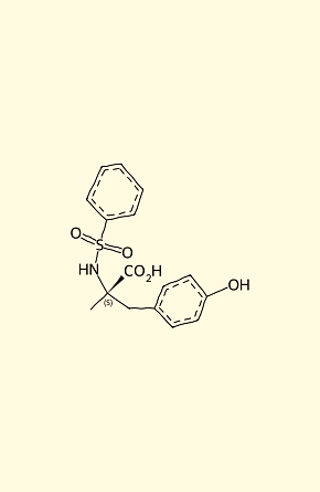 C[C@@](Cc1ccc(O)cc1)(NS(=O)(=O)c1ccccc1)C(=O)O